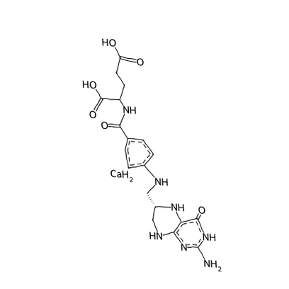 Nc1nc2c(c(=O)[nH]1)N[C@@H](CNc1ccc(C(=O)NC(CCC(=O)O)C(=O)O)cc1)CN2.[CaH2]